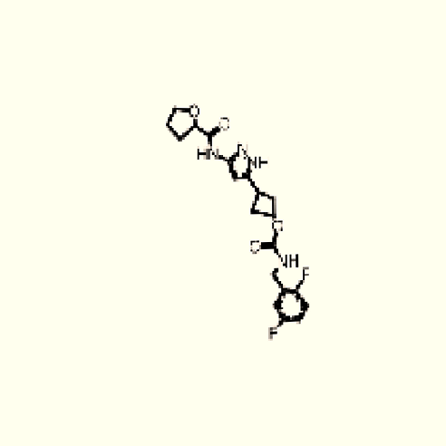 O=C(NCc1cc(F)ccc1F)OC1CC(c2cc(NC(=O)C3CCCO3)n[nH]2)C1